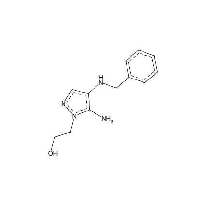 Nc1c(NCc2ccccc2)cnn1CCO